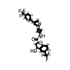 O=C(NC12CC(n3cc(-c4ccc(C(F)(F)F)cn4)cn3)(C1)C2)[C@H]1C[C@@H](O)c2cc(C(F)(F)F)ccc2O1